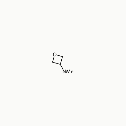 [CH2]NC1COC1